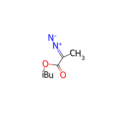 CCC(C)OC(=O)C(C)=[N+]=[N-]